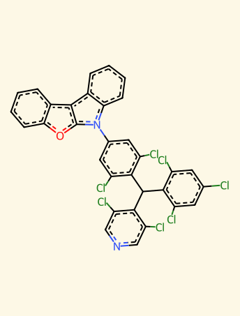 Clc1cc(Cl)c(C(c2c(Cl)cncc2Cl)c2c(Cl)cc(-n3c4ccccc4c4c5ccccc5oc43)cc2Cl)c(Cl)c1